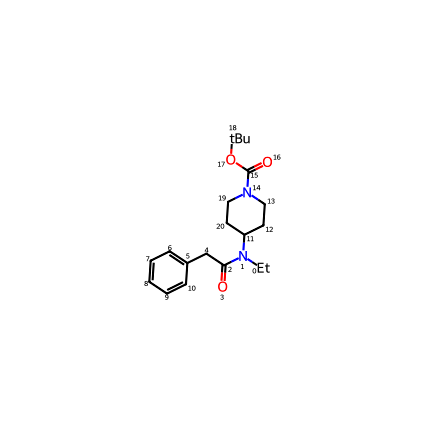 CCN(C(=O)Cc1ccccc1)C1CCN(C(=O)OC(C)(C)C)CC1